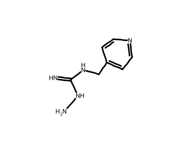 N=C(NN)NCc1ccncc1